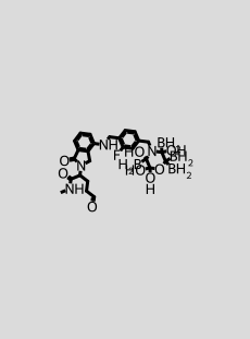 BC1(B)OC(O)(O)C(B)(O)N(Cc2ccc(CNc3cccc4c3CN(C(CCC=O)C(=O)NC)C4=O)c(F)c2)C1(B)O